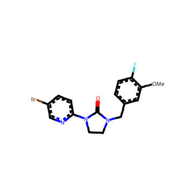 COc1cc(CN2CCN(c3ccc(Br)cn3)C2=O)ccc1F